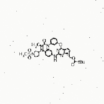 C=CC(=O)Nc1cccc(Oc2nc(Nc3ccc(NC4CCN(S(C)(=O)=O)C4)cc3)nc3c2ccn3COC(=O)C(C)(C)C)c1